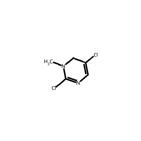 CN1CC(Cl)=CN=C1Cl